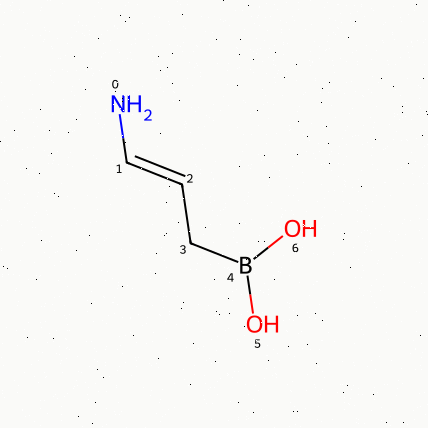 NC=CCB(O)O